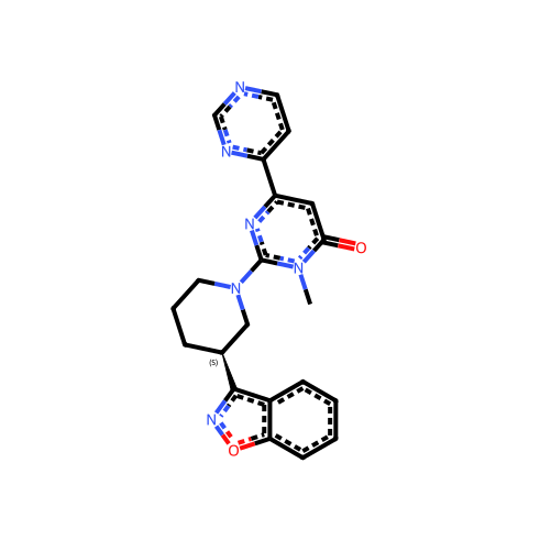 Cn1c(N2CCC[C@H](c3noc4ccccc34)C2)nc(-c2ccncn2)cc1=O